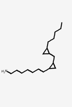 CCCCCC1CC1CC1CC1CCCCCCCN